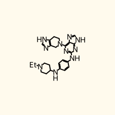 CCN1CCC(Nc2ccc(Nc3nc(N4CCc5[nH]cnc5C4)c4nc[nH]c4n3)cc2)CC1